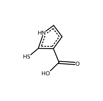 O=C(O)c1cc[nH]c1S